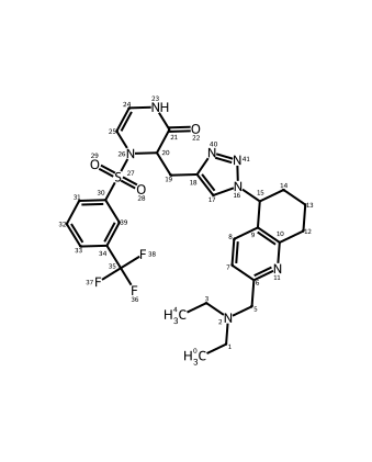 CCN(CC)Cc1ccc2c(n1)CCCC2n1cc(CC2C(=O)NC=CN2S(=O)(=O)c2cccc(C(F)(F)F)c2)nn1